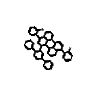 Brc1ccccc1-c1ccc2c3cccc4c(-c5ccccc5Br)cc(-c5cc(-c6ccccc6)ccc5-c5ccccc5)c(c5cccc1c25)c43